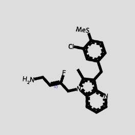 CSc1ccc(Cc2c(C)n(C/C(F)=C/CN)c3cccnc23)cc1Cl